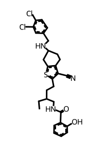 CCC(CCc1sc2c(c1C#N)CCC(NCc1ccc(Cl)c(Cl)c1)C2)CNC(=O)c1ccccc1O